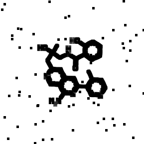 Cc1ccncc1-c1cc2cc(CC(C)(O)CNC(=O)c3ccccc3O)ncc2c(N)n1